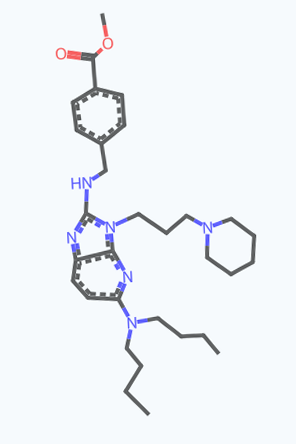 CCCCN(CCCC)c1ccc2nc(NCc3ccc(C(=O)OC)cc3)n(CCCN3CCCCC3)c2n1